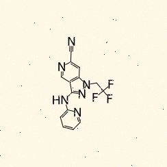 N#Cc1cc2c(cn1)c(Nc1ccccn1)nn2CC(F)(F)F